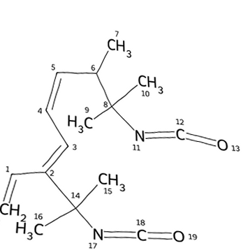 C=C/C(=C\C=C/C(C)C(C)(C)N=C=O)C(C)(C)N=C=O